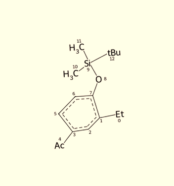 CCc1cc(C(C)=O)ccc1O[Si](C)(C)C(C)(C)C